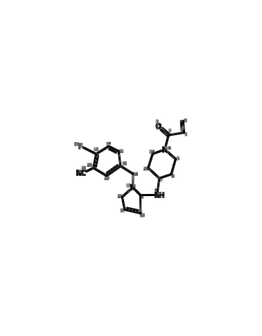 C=CC(=O)N1CCC(NC2C=CCN2Cc2ccc(F)c(C#N)c2)CC1